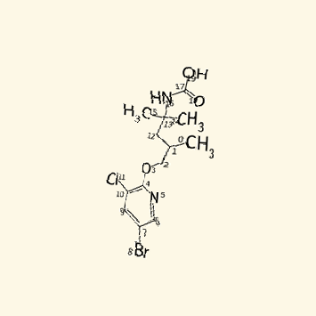 CC(COc1ncc(Br)cc1Cl)CC(C)(C)NC(=O)O